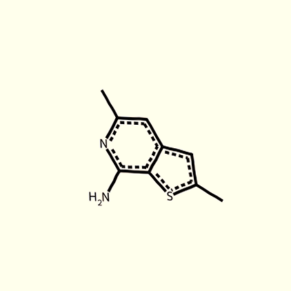 Cc1cc2cc(C)sc2c(N)n1